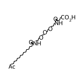 CC(=O)CCCCCCCCCCCCCCC(=O)NCCCOCCOCCOCCCNC(=O)CCC(=O)O